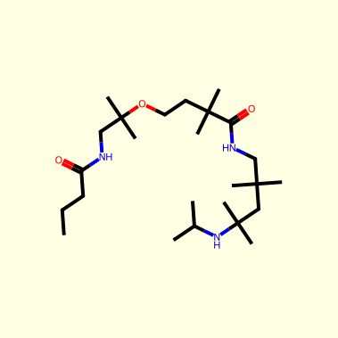 CCCC(=O)NCC(C)(C)OCCC(C)(C)C(=O)NCC(C)(C)CC(C)(C)NC(C)C